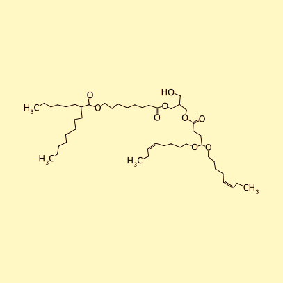 CC/C=C\CCCCOC(CCC(=O)OCC(CO)COC(=O)CCCCCCCOC(=O)C(CCCCCC)CCCCCCCC)OCCCC/C=C\CC